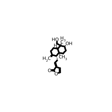 C=C1CC[C@@H]2[C@](C)(CO)[C@H](O)CC[C@@]2(C)[C@@H]1C/C=C1\C=COC1=O